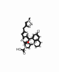 Cn1cc(Cc2cc3nccc(-c4cc(Cl)cc5c4N(C4CCN(C(=O)O)C4)CCC5)c3s2)nn1